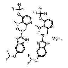 [2H]C([2H])([2H])Oc1ccnc(C[S+]([O-])c2nc3cc(OC(F)F)ccc3[nH]2)c1OC.[2H]C([2H])([2H])Oc1ccnc(C[S+]([O-])c2nc3cc(OC(F)F)ccc3[nH]2)c1OC.[MgH2]